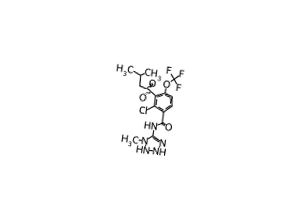 CC(C)CS(=O)(=O)c1c(OC(F)(F)F)ccc(C(=O)NC2=NNNN2C)c1Cl